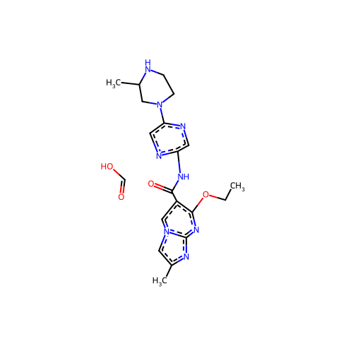 CCOc1nc2nc(C)cn2cc1C(=O)Nc1cnc(N2CCNC(C)C2)cn1.O=CO